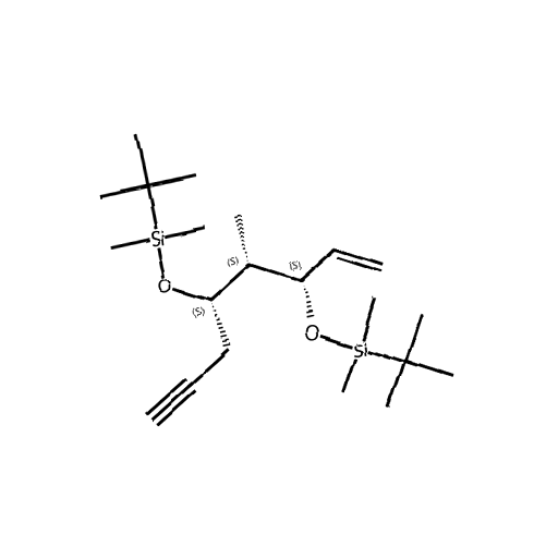 C#CC[C@H](O[Si](C)(C)C(C)(C)C)[C@H](C)[C@H](C=C)O[Si](C)(C)C(C)(C)C